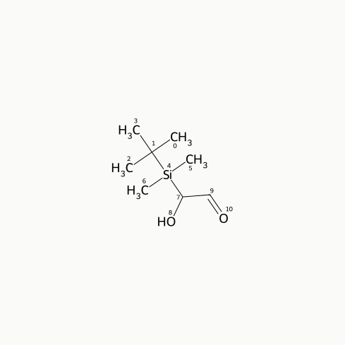 CC(C)(C)[Si](C)(C)C(O)C=O